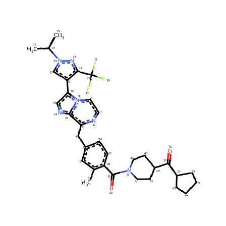 Cc1cc(Cc2nccn3c(-c4cn(C(C)C)nc4C(F)(F)F)cnc23)ccc1C(=O)N1CCC(C(=O)C2CCCC2)CC1